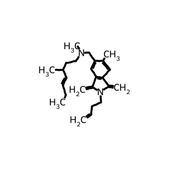 C=CCCn1c(=C)c2cc(C)c(CN(C)CCC(C)C=CCC)cc2c1=C